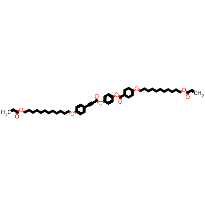 C=CC(=O)OCCCCCCCCCCCCOc1ccc(C#CC(=O)Oc2ccc(OC(=O)C3CCC(OCCCCCCCCCCCOC(=O)C=C)CC3)cc2)cc1